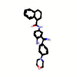 N=C(c1ccc(N2CCOCC2)cc1)c1cc(NC(=O)C2CCCc3ccccc32)ccc1N